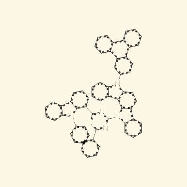 c1ccc(-c2nc(-c3cccc4c5ccccc5n(-c5ccccc5)c34)nc(-n3c4ccccc4c4ccc5c(c6ccccc6n5-c5ccc6c7ccccc7c7ccccc7c6c5)c43)n2)cc1